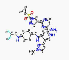 Cn1ccc(C2=CNC(N)(c3ccnc(-c4cnn(S(=O)(=O)C5CC5)c4)n3)C=C2NCC2CCC(NCC(F)F)CC2)n1